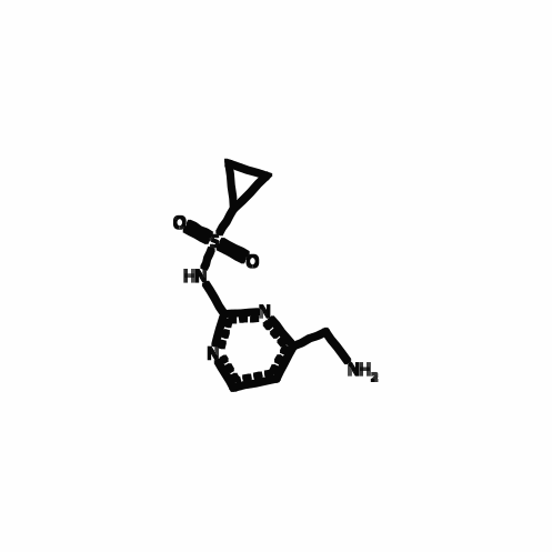 NCc1ccnc(NS(=O)(=O)C2CC2)n1